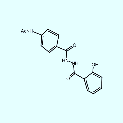 CC(=O)Nc1ccc(C(=O)NNC(=O)c2ccccc2O)cc1